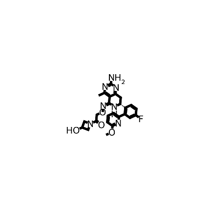 COc1cccc(-c2cc(F)ccc2[C@H]2Cc3nc(N)nc(C)c3/C(=N/OCC(=O)N3CC(O)C3)N2)n1